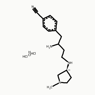 CN1CC[C@H](NCCC(N)Cc2ccc(C#N)cc2)C1.Cl.Cl.Cl